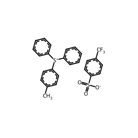 Cc1ccc([S+](c2ccccc2)c2ccccc2)cc1.O=S(=O)([O-])c1ccc(C(F)(F)F)cc1